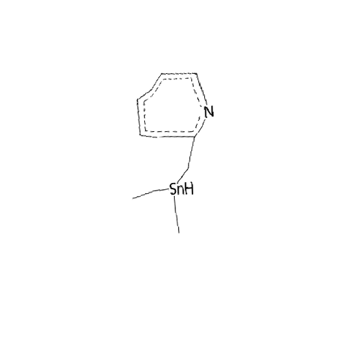 [CH3][SnH]([CH3])[CH2]c1ccccn1